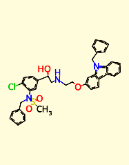 CS(=O)(=O)N(Cc1ccccc1)c1cc([C@@H](O)CNCCOc2ccc3c4ccccc4n(Cc4ccccc4)c3c2)ccc1Cl